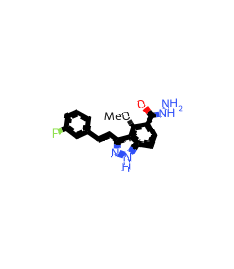 COc1c(C(=O)NN)ccc2[nH]nc(C=Cc3cccc(F)c3)c12